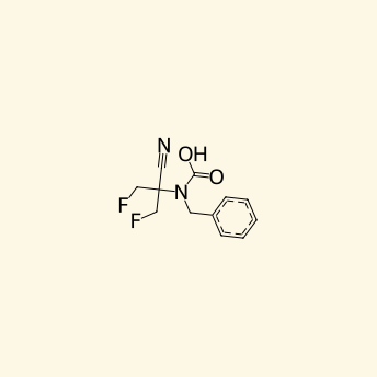 N#CC(CF)(CF)N(Cc1ccccc1)C(=O)O